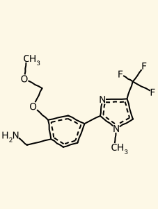 COCOc1cc(-c2nc(C(F)(F)F)cn2C)ccc1CN